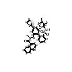 Cc1noc(NS(=O)(=O)c2ccccc2-c2ccc(-c3ncco3)cc2CN(C)C(=O)c2ccnc3ccccc23)c1C